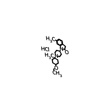 CCOC1CCC(C)(N2CCC(N3C(=O)Cc4ccc(C)cc43)CC2)CC1.Cl